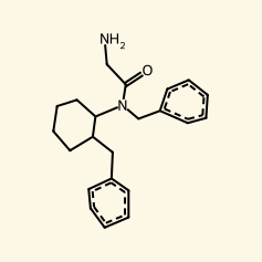 NCC(=O)N(Cc1ccccc1)C1CCCCC1Cc1ccccc1